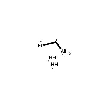 CC[CH2][AlH2].[HH].[HH]